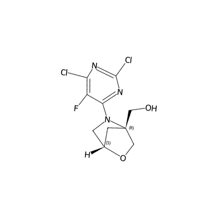 OC[C@]12CO[C@H](CN1c1nc(Cl)nc(Cl)c1F)C2